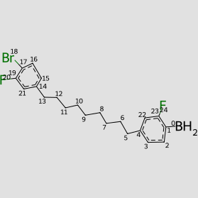 Bc1ccc(CCCCCCCCCc2ccc(Br)c(F)c2)cc1F